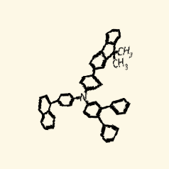 CC1(C)c2ccccc2-c2ccc(-c3ccc(N(c4ccc(-c5cccc6ccccc56)cc4)c4ccc(-c5ccccc5)c(-c5ccccc5)c4)cc3)cc21